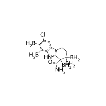 Bc1c(Cl)cc2c3c([nH]c2c1B)C(B)(C(N)=O)C(B)(B)CC3